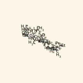 C=C(NC(C)(C)CCN(CCCC(C)(C)NC(=O)OC(C)(C)C)C(=C)CCC(=O)O[C@H]1CC[C@@]2(C)C(=CC[C@H]3[C@@H]4CC[C@H]([C@H](C)CC[C@@H](CC)C(C)C)[C@@]4(C)CC[C@@H]32)C1)OC(C)(C)C